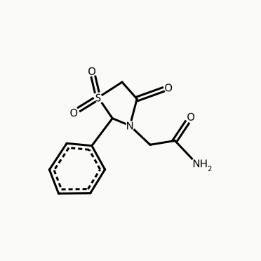 NC(=O)CN1C(=O)CS(=O)(=O)C1c1ccccc1